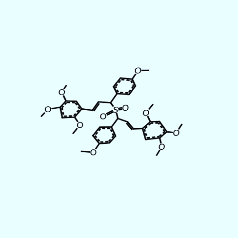 COc1ccc(C(/C=C/c2cc(OC)c(OC)cc2OC)S(=O)(=O)C(/C=C/c2cc(OC)c(OC)cc2OC)c2ccc(OC)cc2)cc1